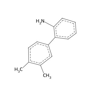 Cc1ccc(-c2ccccc2N)cc1C